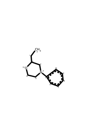 CCC1CN(c2ccccc2)CCO1